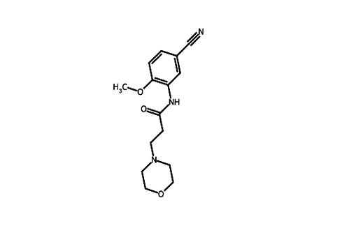 COc1ccc(C#N)cc1NC(=O)CCN1CCOCC1